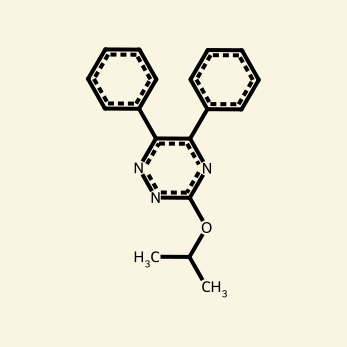 CC(C)Oc1nnc(-c2ccccc2)c(-c2ccccc2)n1